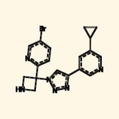 Brc1ccc(C2(n3cc(-c4cncc(C5CC5)c4)nn3)CNC2)nc1